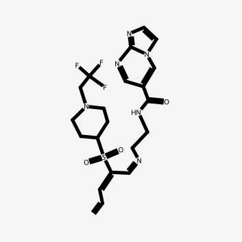 C=C/C=C(\C=N/CCNC(=O)c1cnc2nccn2c1)S(=O)(=O)C1CCN(CC(F)(F)F)CC1